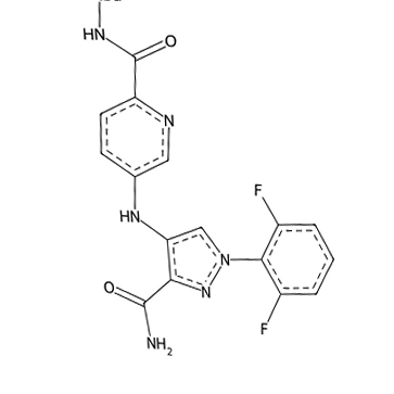 CC(C)(C)NC(=O)c1ccc(Nc2cn(-c3c(F)cccc3F)nc2C(N)=O)cn1